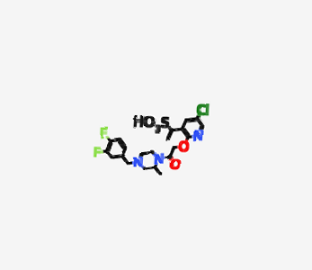 CC1CN(Cc2ccc(F)c(F)c2)CCN1C(=O)COc1ncc(Cl)cc1C(C)S(=O)(=O)O